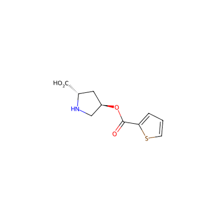 O=C(O[C@H]1CN[C@H](C(=O)O)C1)c1cccs1